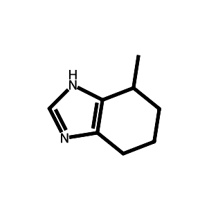 CC1CCCc2nc[nH]c21